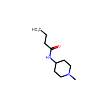 CN1CCC(NC(=O)CCC(=O)O)CC1